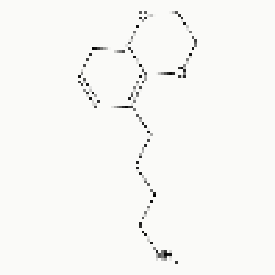 NCCCCc1cccc2c1OCCO2